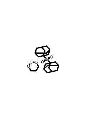 C1COOOC1.O=S(=O)(C12CC3CC(CC(C3)C1)C2)C12CC3CC(CC(C3)C1)C2